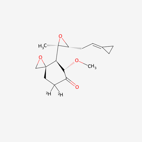 [2H]C1([2H])C[C@]2(CO2)[C@@H]([C@@]2(C)O[C@@H]2CC=C2CC2)[C@H](OC)C1=O